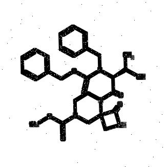 CC(O)[C@@H](C(=O)N1CCN(C(=O)OC(C)(C)C)CC12CNC2=O)N(Cc1ccccc1)C(=O)OCc1ccccc1